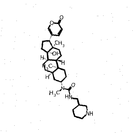 CN(C(=O)NCC1CCCNC1)[C@H]1CC[C@@]2(C)[C@H](CC[C@@H]3[C@@H]2CC[C@]2(C)[C@@H](c4ccc(=O)oc4)CC[C@]32O)C1